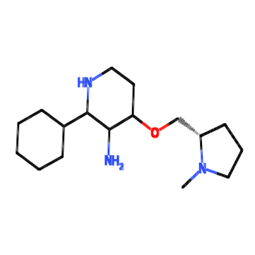 CN1CCC[C@H]1COC1CCNC(C2CCCCC2)C1N